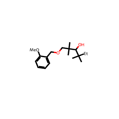 CCC(C)(C)C(O)C(C)(C)COCc1ccccc1OC